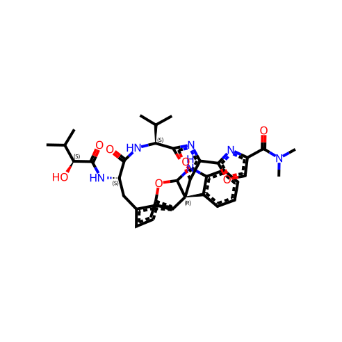 CC(C)[C@H](O)C(=O)N[C@H]1Cc2ccc3c(c2)[C@@]2(c4ccccc4NC2O3)c2oc(nc2-c2nc(C(=O)N(C)C)co2)[C@H](C(C)C)NC1=O